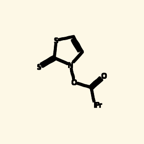 CC(C)C(=O)On1ccsc1=S